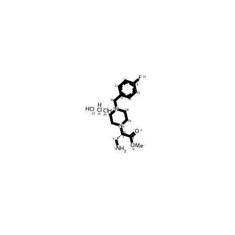 COC(=O)[C@H](CN)N1CCN(Cc2ccc(F)cc2)CC1.Cl.Cl.Cl